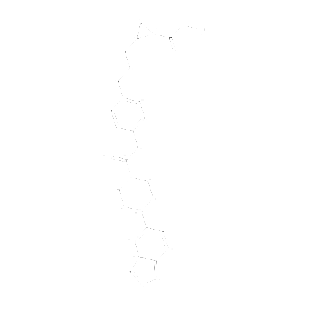 CC(C)(C)OC(=O)N1CC1CCCc1ccc(CC(=O)N2CCN(c3ccc4nncn4n3)CC2)cc1